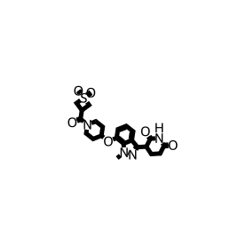 Cn1nc(C2CCC(=O)NC2=O)c2cccc(OC3CCN(C(=O)C4CS(=O)(=O)C4)CC3)c21